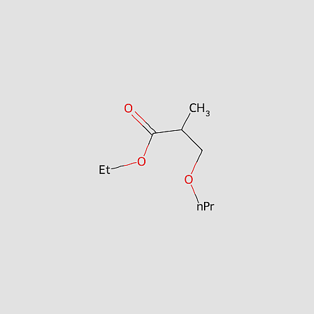 CCCOCC(C)C(=O)OCC